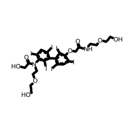 O=C(COc1c(I)cc(I)c(-c2c(I)cc(I)c(N(CCOCCO)C(=O)CO)c2I)c1I)NCCOCCO